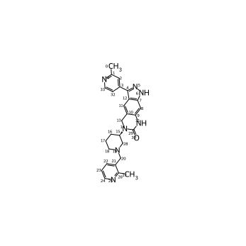 Cc1cc(-c2n[nH]c3cc4c(cc23)CN([C@@H]2CCCN(Cc3cccnc3C)C2)C(=O)N4)ccn1